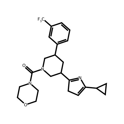 O=C(N1CCOCC1)N1CC(C2=NC(C3CC3)=CC2)CC(c2cccc(C(F)(F)F)c2)C1